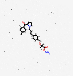 Cc1ccc(C(=O)C2=CCCN2C/C=C/c2ccc(COC(C)(C)C(=O)ON)cc2)cc1